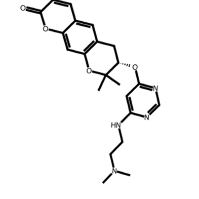 CN(C)CCNc1cc(O[C@H]2Cc3cc4ccc(=O)oc4cc3OC2(C)C)ncn1